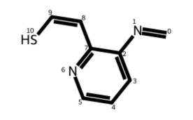 C=Nc1cccnc1/C=C\S